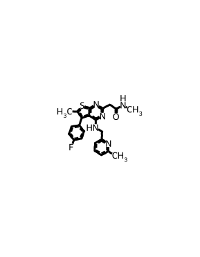 CNC(=O)Cc1nc(NCc2cccc(C)n2)c2c(-c3ccc(F)cc3)c(C)sc2n1